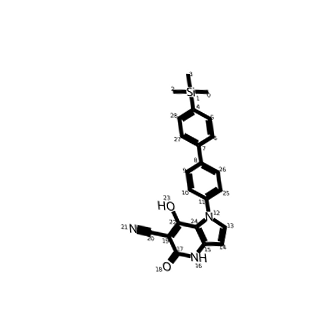 C[Si](C)(C)c1ccc(-c2ccc(-n3ccc4[nH]c(=O)c(C#N)c(O)c43)cc2)cc1